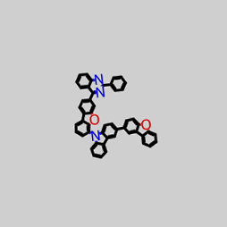 c1ccc(-c2nc(-c3ccc4c(c3)oc3c(-n5c6ccccc6c6cc(-c7ccc8oc9ccccc9c8c7)ccc65)cccc34)c3ccccc3n2)cc1